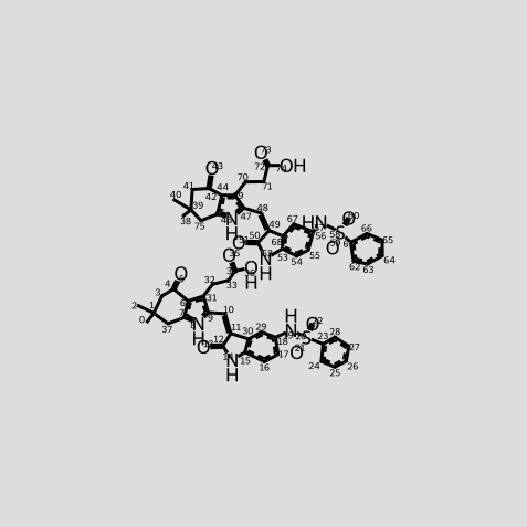 CC1(C)CC(=O)c2c([nH]c(C=C3C(=O)Nc4ccc(NS(=O)(=O)c5ccccc5)cc43)c2CCC(=O)O)C1.CC1(C)CC(=O)c2c([nH]c(C=C3C(=O)Nc4ccc(NS(=O)(=O)c5ccccc5)cc43)c2CCC(=O)O)C1